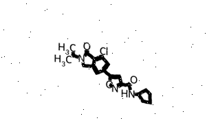 CC(C)N1Cc2cc(-c3cc(C(=O)NC4CCCC4)no3)cc(Cl)c2C1=O